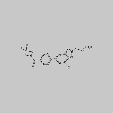 O=C(O)NCc1cc2cc(-c3ccc(C(=O)N4CC(F)(F)C4)cc3)cc(Cl)c2o1